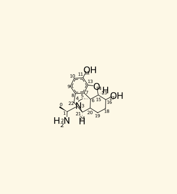 C[C@H](N)N1CC[C@]23c4c5ccc(O)c4O[C@H]2C(O)CCC3[C@H]1C5